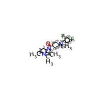 Cc1ccc2c(n1)C(C)(C)CN2C(=O)[C@H]1CC[C@H](N(C)Cc2ccc(F)cc2F)CC1